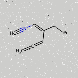 C#[N+]/C=C(\C=C=C)CC(C)C